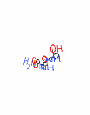 NS(=O)(=O)c1cccc(-c2n[nH]c3ccc(C(=O)NCc4ccccc4CO)cc23)c1